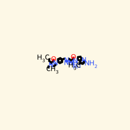 CCCC1C(=O)N(c2ccc(CN(N)/C=C(\N)C(=O)NC3CCc4nc(N)cc(C)c43)cc2)CCN1CC